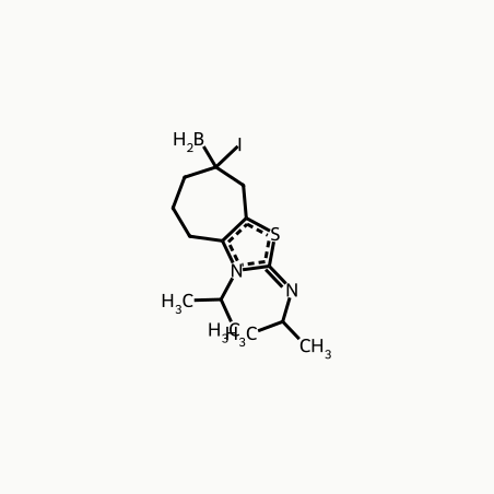 BC1(I)CCCc2c(s/c(=N/C(C)C)n2C(C)C)C1